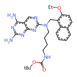 CCOc1ccc2ccccc2c1CN(CCCCNC(=O)OC(C)(C)C)c1ncc2c(N)nc(N)nc2n1